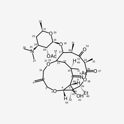 C=C1CO[C@@H]2[C@@H](C)/C(=N/C(C)=O)[C@H](C)C[C@@](C)(OC1)C(O[C@@H]1O[C@H](C)C[C@H](N(C)C)[C@H]1OC(C)=O)[C@@H](C)C(=O)[C@@H](C)C(=O)O[C@H](CC)[C@@]2(C)O